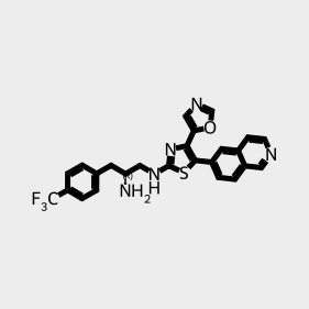 N[C@@H](CNc1nc(-c2cnco2)c(-c2ccc3cnccc3c2)s1)Cc1ccc(C(F)(F)F)cc1